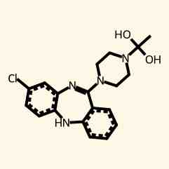 CC(O)(O)N1CCN(C2=Nc3cc(Cl)ccc3Nc3ccccc32)CC1